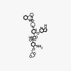 CC(C)c1ccccc1C1CCCN1C1CC2(CCN(c3ccc(C(=O)NS(=O)(=O)c4ccc(OCC5COCCO5)c(N)c4)c(Oc4cnc5[nH]ccc5c4)n3)CC2)C1